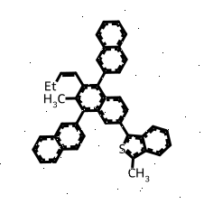 CC/C=C\c1c(C)c(-c2ccc3ccccc3c2)c2cc(-c3sc(C)c4ccccc34)ccc2c1-c1ccc2ccccc2c1